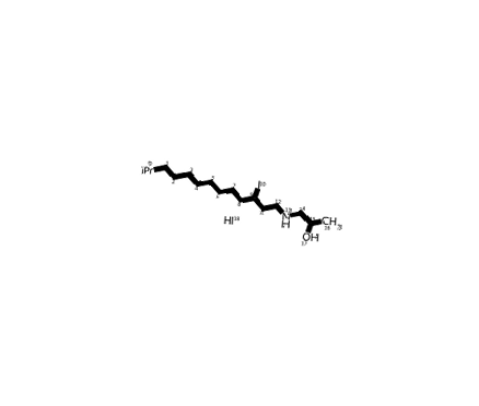 CC(C)CCCCCCCCC(I)CCNCC(C)O.I